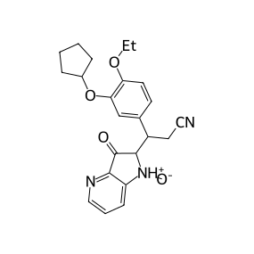 CCOc1ccc(C(CC#N)C2C(=O)c3ncccc3[NH+]2[O-])cc1OC1CCCC1